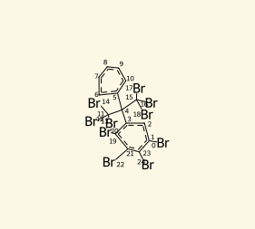 Brc1cc(C(c2ccccc2)(C(Br)(Br)Br)C(Br)(Br)Br)c(Br)c(Br)c1Br